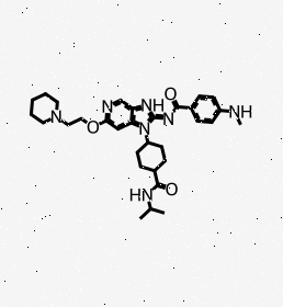 CNc1ccc(C(=O)/N=c2\[nH]c3cnc(OCCN4CCCCC4)cc3n2C2CCC(C(=O)NC(C)C)CC2)cc1